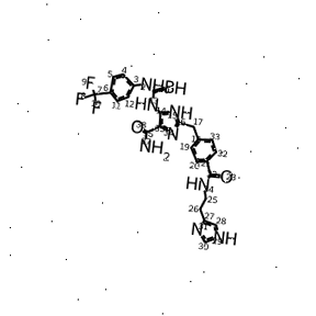 B=C(Nc1ccc(C(F)(F)F)cc1)Nc1[nH]c(Cc2ccc(C(=O)NCCc3c[nH]cn3)cc2)nc1C(N)=O